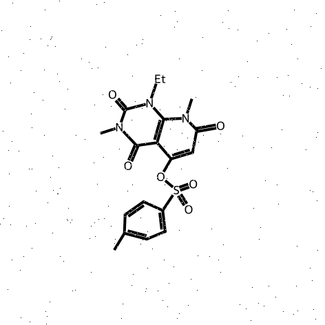 CCn1c(=O)n(C)c(=O)c2c(OS(=O)(=O)c3ccc(C)cc3)cc(=O)n(C)c21